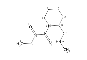 CCC(=O)C(=O)N1CCCCC1CNC